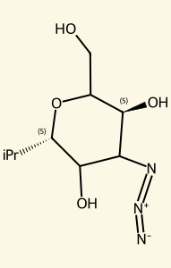 CC(C)[C@@H]1OC(CO)[C@@H](O)C(N=[N+]=[N-])C1O